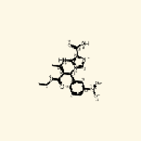 CCOC(=O)C1=C(C)Nc2c(C(=O)O)ncn2C1c1cccc([N+](=O)[O-])c1